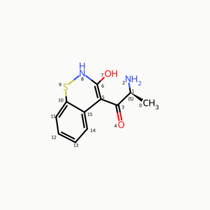 C[C@H](N)C(=O)C1=C(O)NSc2ccccc21